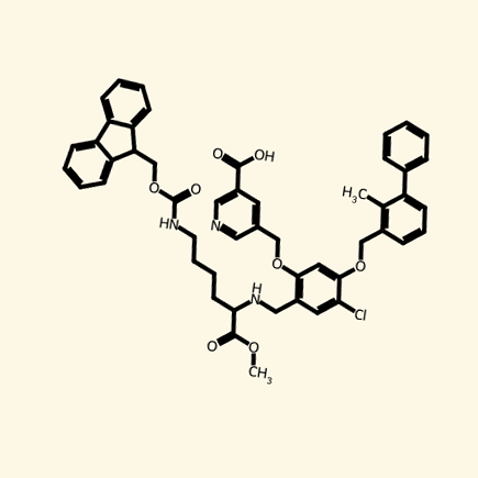 COC(=O)C(CCCCNC(=O)OCC1c2ccccc2-c2ccccc21)NCc1cc(Cl)c(OCc2cccc(-c3ccccc3)c2C)cc1OCc1cncc(C(=O)O)c1